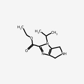 CCOC(=O)c1nc2c(n1C(C)C)CNC2